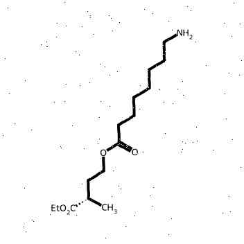 CCOC(=O)[C@@H](C)CCOC(=O)CCCCCCCN